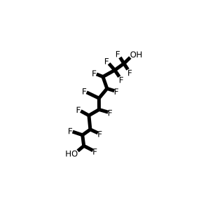 OC(F)C(F)C(F)C(F)C(F)C(F)C(F)C(F)C(F)(F)C(O)(F)F